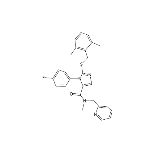 Cc1cccc(C)c1CSc1ncc(C(=O)N(C)Cc2ccccn2)n1-c1ccc(F)cc1